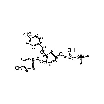 CC(C)NC[C@@H](O)COc1ccc(OCc2ccc(Cl)cc2)c(OCc2ccc(Cl)cc2)c1